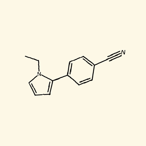 CCn1cccc1-c1ccc(C#N)cc1